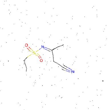 CCS(=O)(=O)N=C(C)CC#N